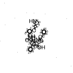 Cc1ccc(OC2CC3(CCCNC3)C2)cc1CNC(=O)[C@H](CCc1ccccc1)NC(=O)[C@H](CC(=O)O)NC(=O)OCc1ccccc1